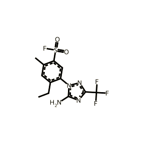 CCc1cc(C)c(S(=O)(=O)F)cc1-n1nc(C(F)(F)F)nc1N